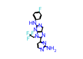 Nc1nccc(-c2nc3cnc(Nc4ccc(F)cc4)nc3n2CC(F)(F)F)n1